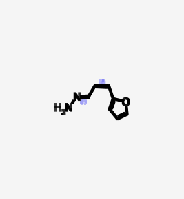 N/N=C/C=C\c1ccco1